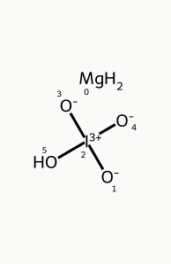 [MgH2].[O-][I+3]([O-])([O-])O